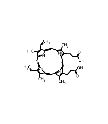 C=CC1=C(C)c2nc1cc1[nH]c(cc3nc(cc4[nH]c(n2)c(C=C)c4C)C(C)=C3CCC(=O)O)c(CCC(=O)O)c1C